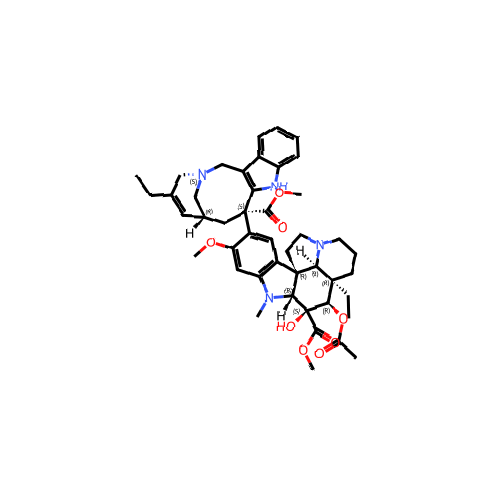 CCC1=C[C@@H]2C[N@](C1)Cc1c([nH]c3ccccc13)[C@@](C(=O)OC)(c1cc3c(cc1OC)N(C)[C@H]1[C@@](O)(C(=O)OC)[C@H](OC(C)=O)[C@]4(CC)CCCN5CC[C@]31[C@@H]54)C2